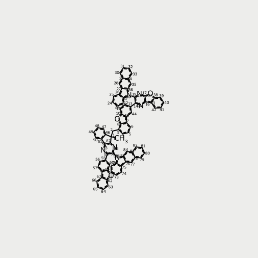 CC1(Cc2cccc3c2oc2ccc(-c4nc5c(nc4-n4c6ccccc6c6cc7ccccc7cc64)oc4ccccc45)cc23)c2ccccc2-c2nc(-c3ccc4c(c3)oc3ccccc34)c(-n3c4ccccc4c4cc5ccccc5cc43)nc21